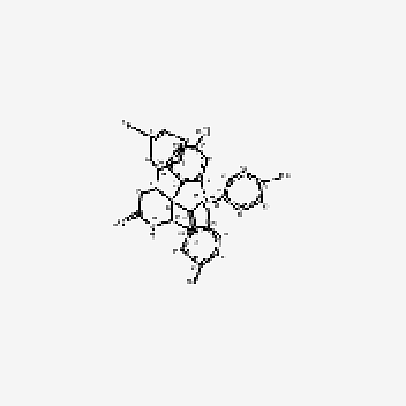 O=C1C[C@@H](C2C=CC=C(F)C2)[C@]2(C(=O)Nc3cc(Cl)ccc32)[C@@H](c2cc(F)ccc2Oc2ccc(F)cc2)N1